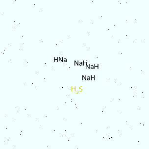 S.[NaH].[NaH].[NaH].[NaH]